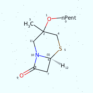 CCCCCOC1(C)CS[C@H]2CC(=O)N2C1